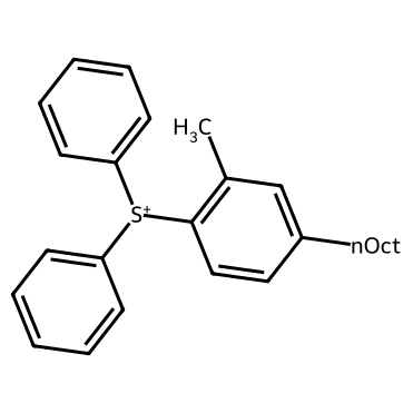 CCCCCCCCc1ccc([S+](c2ccccc2)c2ccccc2)c(C)c1